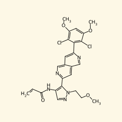 C=CC(=O)Nc1cnn(CCOC)c1-c1cc2cnc(-c3c(Cl)c(OC)cc(OC)c3Cl)cc2cn1